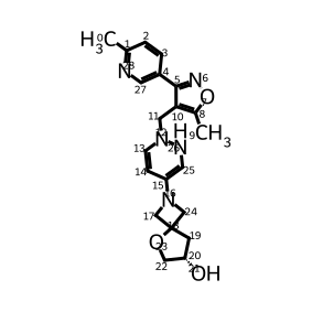 Cc1ccc(-c2noc(C)c2CN2C=CC(N3CC4(C[C@H](O)CO4)C3)=CN2)cn1